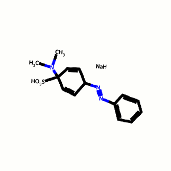 CN(C)C1(S(=O)(=O)O)C=CC(/N=N/c2ccccc2)C=C1.[NaH]